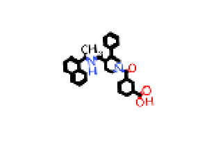 C[C@@H](NCC1CCN(C(=O)C2CCCC(C(=O)O)C2)CC1c1ccccc1)c1cccc2ccccc12